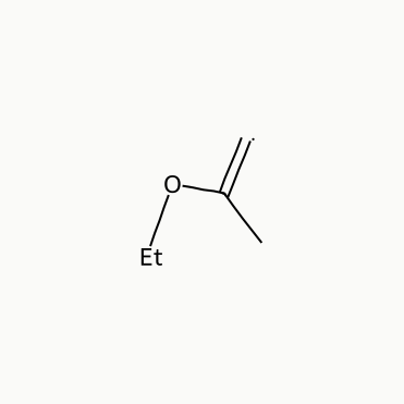 [CH]=C(C)OCC